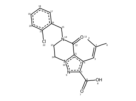 CC(C)=Cc1c(C(=O)O)nn2c1C(=O)N(Cc1ccccc1Cl)CC2